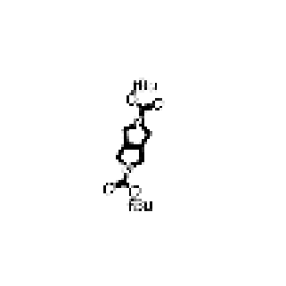 CC(C)(C)OC(=O)N1CC2=C(C1)CN(C(=O)OC(C)(C)C)C2